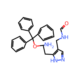 NC(Cc1[nH]ncc1CNC=O)OC(c1ccccc1)(c1ccccc1)c1ccccc1